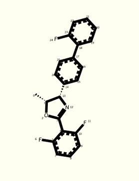 C[C@H]1OC(c2c(F)cccc2F)=N[C@H]1c1ccc(-c2ccccc2F)cc1